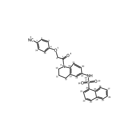 N#Cc1ccc(OCC(=O)N2CCCc3cc(NS(=O)(=O)c4cccc5ccccc45)ccc32)cc1